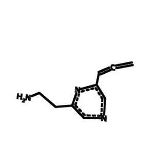 C=C=Cc1cncc(CCN)n1